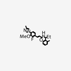 CCC(NC(=O)/C=C/c1ccc(-n2cnc(C)c2)c(OC)c1F)c1ccccc1C